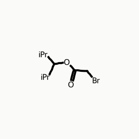 CC(C)C(OC(=O)CBr)C(C)C